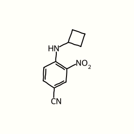 N#Cc1ccc(NC2CCC2)c([N+](=O)[O-])c1